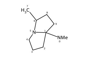 CNC12CCCN1C(C)CC2